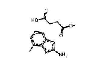 Cc1cccc2sc(N)nc12.O=C(O)CCC(=O)O